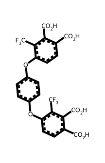 O=C(O)c1ccc(Oc2ccc(Oc3ccc(C(=O)O)c(C(=O)O)c3C(F)(F)F)cc2)c(C(F)(F)F)c1C(=O)O